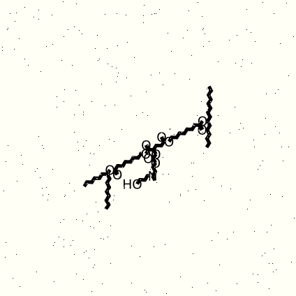 CCCCCCCCC(CCCCCC)OC(=O)CCCCCCCOC(=O)CCC(OC(=O)OCCN(C)CCCO)C(=O)OCCCCCCCC(=O)OC(CCCCCC)CCCCCCCC